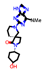 CNc1nc(N2CCC[C@@]3(CCN([C@H]4CC[C@H](O)CC4)C3=O)C2)nc2[nH]cnc12